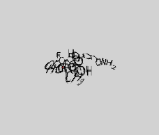 CCC[C@H](O)[C@@]1(F)[C@H]([C@@H]2C[C@H]3O[C@@H](c4ccc(Cc5cccc(N)c5)cc4)O[C@@]3(C(=O)CO)C2)C[C@H](F)C2=CC(=O)C=C[C@@]21C